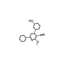 COc1nc(-c2ccccc2)cc(-c2cccc(O)c2)c1C#N